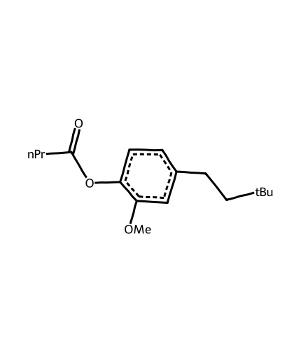 CCCC(=O)Oc1ccc(CCC(C)(C)C)cc1OC